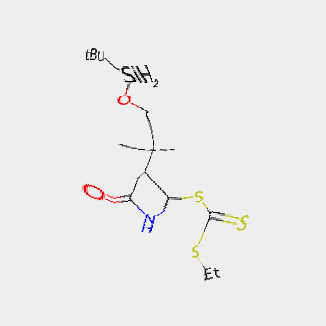 CCSC(=S)SC1NC(=O)C1C(C)(C)CO[SiH2]C(C)(C)C